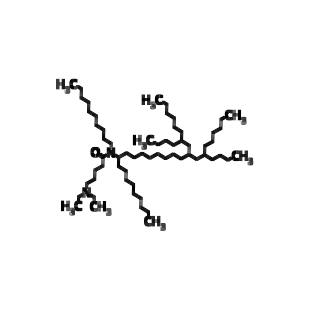 CCCCCCCCCCN(C(=O)CCCCN(CC)CC)C(CCCCCCCCC)CCCCCCCCC(CC(CCCC)CCCCCC)CC(CCCC)CCCCCC